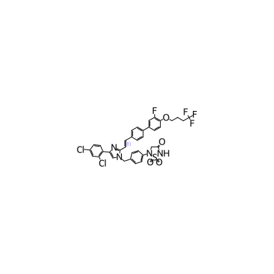 O=C1CN(c2ccc(Cn3cc(-c4ccc(Cl)cc4Cl)nc3/C=C/c3ccc(-c4ccc(OCCCC(F)(F)F)c(F)c4)cc3)cc2)S(=O)(=O)N1